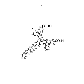 O=COc1ccc(-n2c3ccccc3c3cc(N(c4ccc(-c5ccc(-c6ccc(-c7ccccc7)cc6)cc5)cc4)c4ccc5c(c4)c4ccccc4n5-c4ccc(C(=O)O)cc4)ccc32)cc1